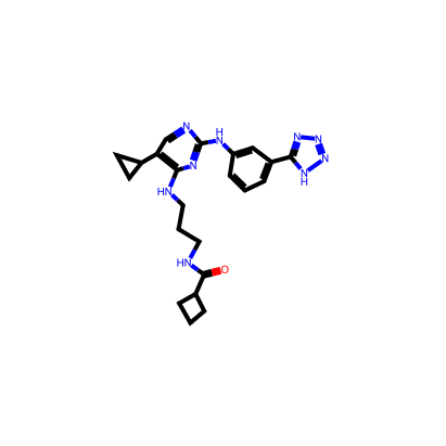 O=C(NCCCNc1nc(Nc2cccc(-c3nnn[nH]3)c2)ncc1C1CC1)C1CCC1